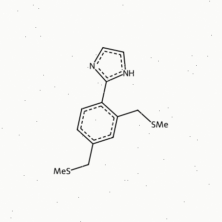 CSCc1ccc(-c2ncc[nH]2)c(CSC)c1